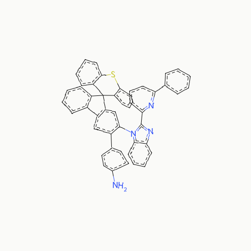 Nc1ccc(-c2cc3c(cc2-n2c(-c4cccc(-c5ccccc5)n4)nc4ccccc42)C2(c4ccccc4Sc4ccccc42)c2ccccc2-3)cc1